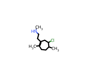 CNCCC1=C(C)CCC(C)C(Cl)C1